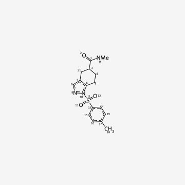 CNC(=O)C1CCc2c(cnn2S(=O)(=O)c2ccc(C)cc2)C1